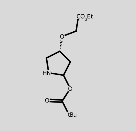 CCOC(=O)CO[C@H]1CNC(OC(=O)C(C)(C)C)C1